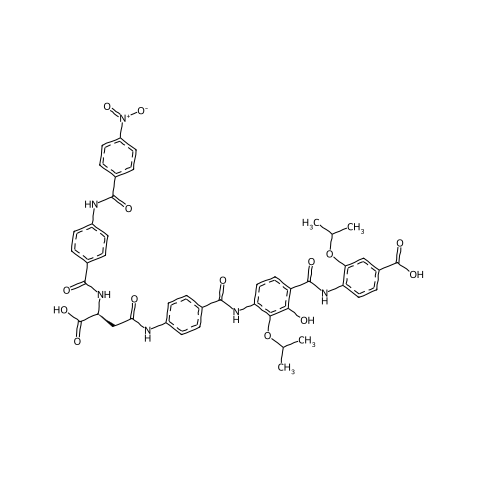 CC(C)Oc1cc(C(=O)O)ccc1NC(=O)c1ccc(NC(=O)c2ccc(NC(=O)C[C@H](NC(=O)c3ccc(NC(=O)c4ccc([N+](=O)[O-])cc4)cc3)C(=O)O)cc2)c(OC(C)C)c1O